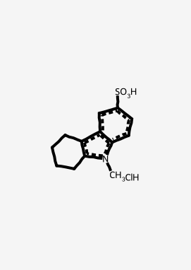 Cl.Cn1c2c(c3cc(S(=O)(=O)O)ccc31)CCCC2